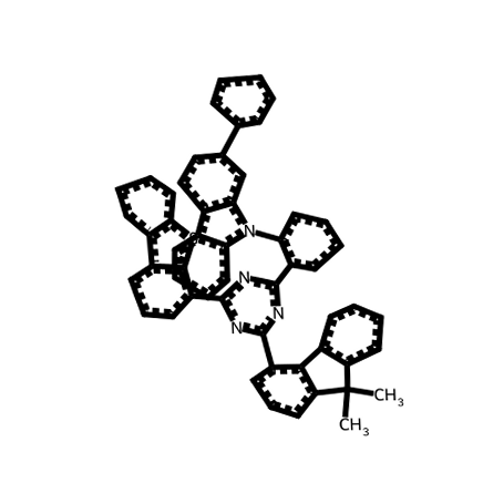 CC1(C)c2ccccc2-c2c(-c3nc(-c4ccccc4-n4c5ccccc5c5ccc(-c6ccccc6)cc54)nc(-c4cccc5c4sc4ccccc45)n3)cccc21